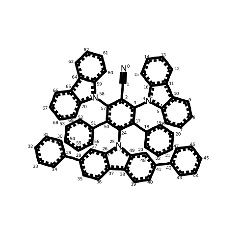 N#Cc1c(-n2c3ccccc3c3ccccc32)c(-c2ccccc2)c(-n2c3cc(-c4ccccc4)ccc3c3ccc(-c4ccccc4)cc32)c(-c2ccccc2)c1-n1c2ccccc2c2ccccc21